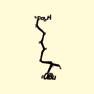 CC(C)COC(C)CCCCCC(=O)O